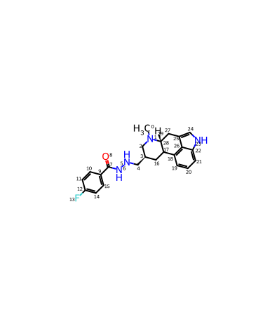 CN1C[C@H](CNNC(=O)c2ccc(F)cc2)CC2c3cccc4[nH]cc(c34)C[C@H]21